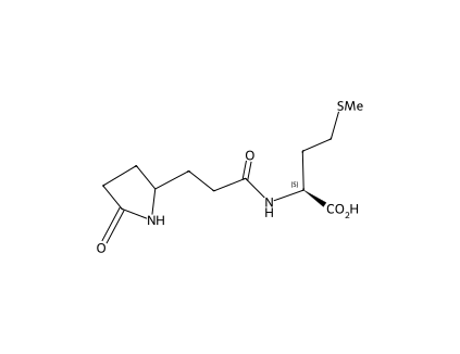 CSCC[C@H](NC(=O)CCC1CCC(=O)N1)C(=O)O